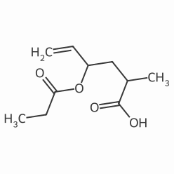 C=CC(CC(C)C(=O)O)OC(=O)CC